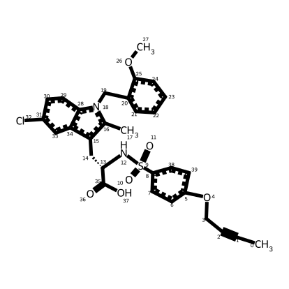 CC#CCOc1ccc(S(=O)(=O)N[C@@H](Cc2c(C)n(Cc3ccccc3OC)c3ccc(Cl)cc23)C(=O)O)cc1